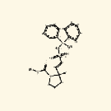 CC(C)(C)OC(=O)N1CCC[C@@]1(C)/C=C/S(=N)(=O)N[Si](c1ccccc1)(c1ccccc1)C(C)(C)C